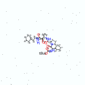 CCCC(NC(=O)[C@@H]1CCCN1C(=O)C(NC(=O)OC(C)(C)C)C1CCCCC1)C(=O)C(=O)NCCC1=CCCCC1